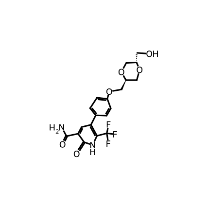 NC(=O)c1cc(-c2ccc(OC[C@@H]3CO[C@@H](CO)CO3)cc2)c(C(F)(F)F)[nH]c1=O